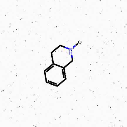 [CH2-][NH+]1CCc2ccccc2C1